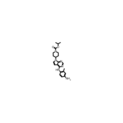 Cc1cc(N)ccc1Nc1ncnc2c1ccn2C1CCN(C(=O)OC(C)C)CC1